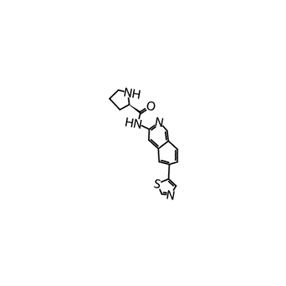 O=C(Nc1cc2cc(-c3cncs3)ccc2cn1)[C@H]1CCCN1